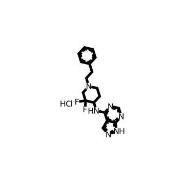 Cl.FC1(F)CN(CCc2ccccc2)CCC1Nc1ncnc2[nH]ncc12